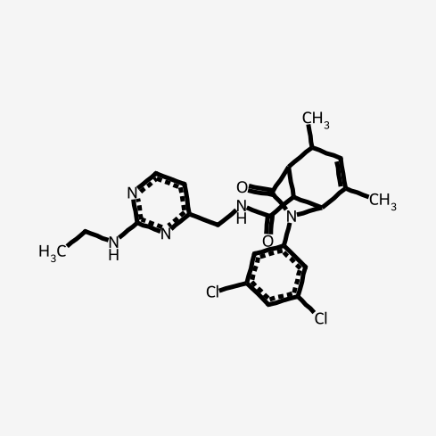 CCNc1nccc(CNC(=O)C2C3C(=O)N(c4cc(Cl)cc(Cl)c4)C2C(C)=CC3C)n1